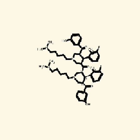 Cc1c(F)cccc1C1C(C(=O)c2cccc(O)c2)CN(CCCCCN(C)C)CC1C(=O)[C@@H]1CN(CCCCCN(C)C)C[C@H](C(=O)c2cccc(O)c2)[C@@H]1c1cccc(F)c1C